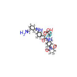 NCc1cccc(Nc2cccc(CC(=O)Nc3ccc(N4C(=O)CCCC4=O)cc3)c2)c1.O=C(O)C(F)(F)F